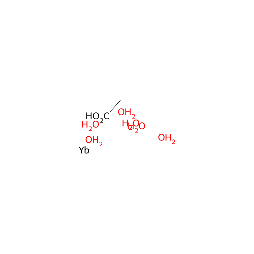 CC(=O)O.O.O.O.O.O.O.[Yb]